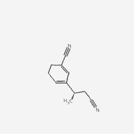 C[C@H](CC#N)C1=CCCC(C#N)=C1